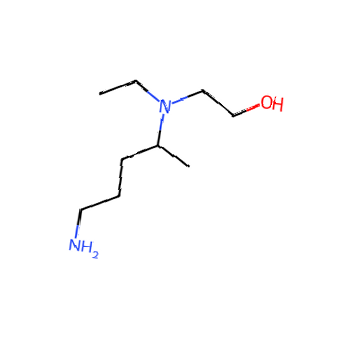 CCN(CCO)C(C)CCCN